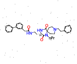 CCCN1C(=O)[C@H](CCNC(=O)Cc2cccc(-c3ccccc3)c2)NC(=O)C12CCN(CCc1ccccc1)CC2